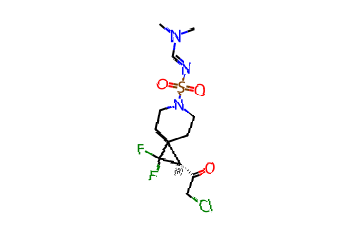 CN(C)C=NS(=O)(=O)N1CCC2(CC1)[C@H](C(=O)CCl)C2(F)F